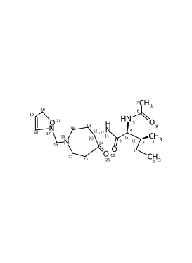 CC[C@H](C)[C@H](NC(C)=O)C(=O)N[C@H]1CCN(CN2C=CCO2)CCC1=O